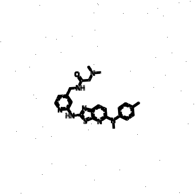 Cc1ccc(N(C)c2ccc3nc(Nc4cc(CNC(=O)CN(C)C)ccn4)sc3n2)cc1